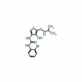 CC(C)NSc1scc(NC(=O)Nc2ccccc2Br)c1O